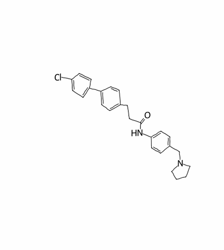 O=C(CCc1ccc(-c2ccc(Cl)cc2)cc1)Nc1ccc(CN2CCCC2)cc1